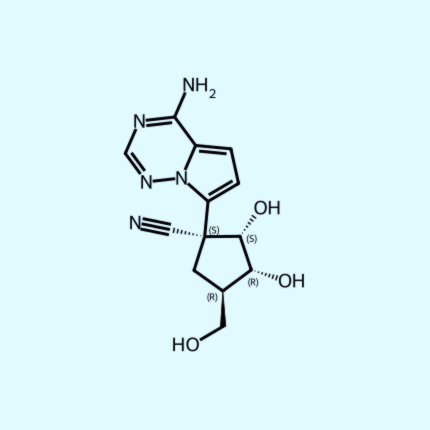 N#C[C@@]1(c2ccc3c(N)ncnn23)C[C@H](CO)[C@@H](O)[C@H]1O